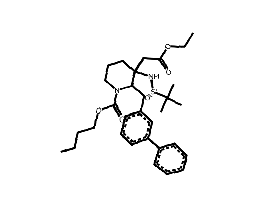 CCCCOC(=O)N1CCCC(CC(=O)OCC)(N[S@+]([O-])C(C)(C)C)C1Cc1cccc(-c2ccccc2)c1